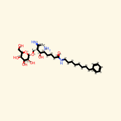 CC(=O)C(=N)[C@@H](CO[C@H]1OC(CO)[C@H](O)C(O)[C@@H]1O)[C@H](O)[C@H](N)CCCC(=O)NCCCCCCCCc1ccccc1